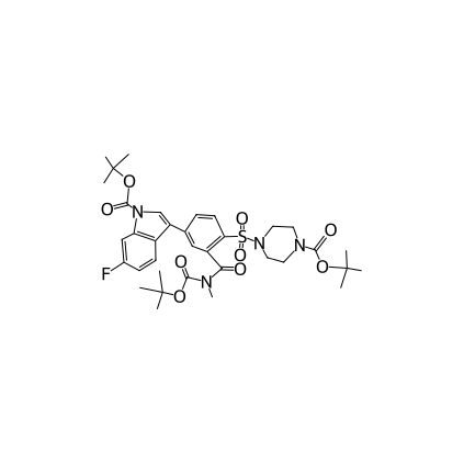 CN(C(=O)OC(C)(C)C)C(=O)c1cc(-c2cn(C(=O)OC(C)(C)C)c3cc(F)ccc23)ccc1S(=O)(=O)N1CCN(C(=O)OC(C)(C)C)CC1